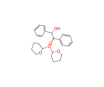 C1CCC(OC2CCCCO2)OC1.O=C(c1ccccc1)C(O)c1ccccc1